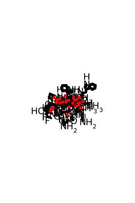 CCCC[C@@H](C(=O)N(C)[C@@H](CCCC)C(=O)N[C@@H](CCCN)C(=O)N[C@@H](CSCC(=O)N[C@@H](Cc1ccc(O)cc1)C(=O)N1CC(F)(F)C[C@H]1C(=O)N[C@@H](CC(N)=O)C(=O)N1CCC[C@H]1C(=O)N[C@@H](Cc1cnc[nH]1)C(=O)N[C@@H](CC(C)C)C(=O)N1C[C@H](O)C[C@H]1C(C)=O)C(=O)NCC(N)=O)N(C)C(=O)[C@H](Cc1c[nH]c2ccccc12)NC(=O)[C@H](CO)NC(=O)[C@@H](N)Cc1c[nH]c2ccccc12